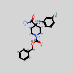 NC(=O)C1(Nc2cccc(Cl)c2)CCN(C(=O)OCc2ccccc2)CC1